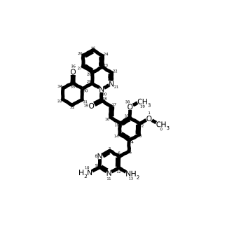 COc1cc(Cc2cnc(N)nc2N)cc(/C=C/C(=O)N2N=Cc3ccccc3C2C2CCCCC2=O)c1OC